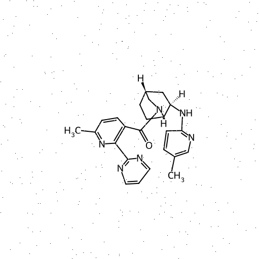 Cc1ccc(N[C@@H]2C[C@H]3CC[C@@H]2N(C(=O)c2ccc(C)nc2-c2ncccn2)C3)nc1